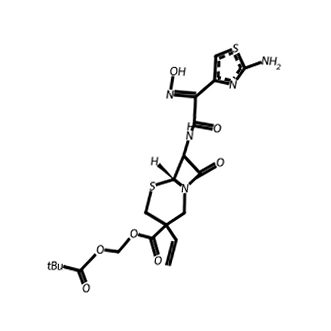 C=CC1(C(=O)OCOC(=O)C(C)(C)C)CS[C@@H]2C(NC(=O)C(=NO)c3csc(N)n3)C(=O)N2C1